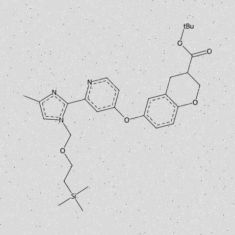 Cc1cn(COCC[Si](C)(C)C)c(-c2cc(Oc3ccc4c(c3)CC(C(=O)OC(C)(C)C)CO4)ccn2)n1